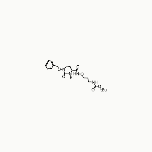 CCN1C(=O)N(OCc2ccccc2)CC[C@H]1C(=O)NOCCCNC(=O)OC(C)(C)C